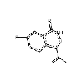 C=C(C)c1c[nH]c(=O)c2cc(F)ccc12